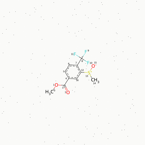 COC(=O)c1ccc(C(F)(F)F)c([S+](C)[O-])c1